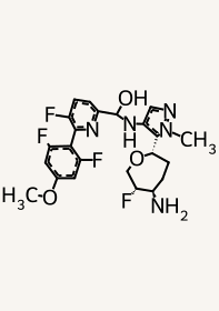 COc1cc(F)c(-c2nc(C(O)Nc3cnn(C)c3[C@@H]3CC[C@@H](N)[C@H](F)CO3)ccc2F)c(F)c1